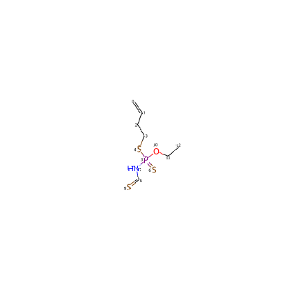 C=CCCSP(=S)(NC=S)OCC